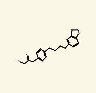 O=C(CO)Cc1ccc(CCCCc2ccc3c(c2)OCO3)cc1